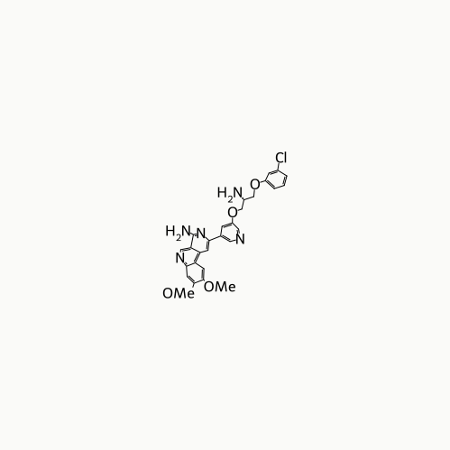 COc1cc2ncc3c(N)nc(-c4cncc(OC[C@@H](N)COc5cccc(Cl)c5)c4)cc3c2cc1OC